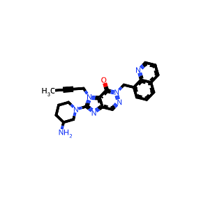 CC#CCn1c(N2CCCC(N)C2)nc2cnn(Cc3cccc4cccnc34)c(=O)c21